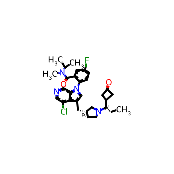 CC[C@@H](C1CC(=O)C1)N1CC[C@H](Cc2cn(-c3ccc(F)cc3C(=O)N(C)C(C)C)c3cncc(Cl)c23)C1